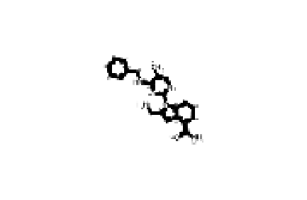 Cc1cnc(-n2c(CN)cc3c(C(N)=O)cccc32)nc1NCc1ccccc1